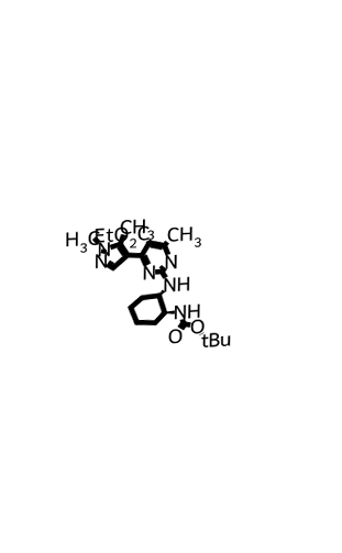 CCOC(=O)c1c(C)nc(N[C@@H]2CCCC[C@@H]2NC(=O)OC(C)(C)C)nc1-c1cnn(C)c1C